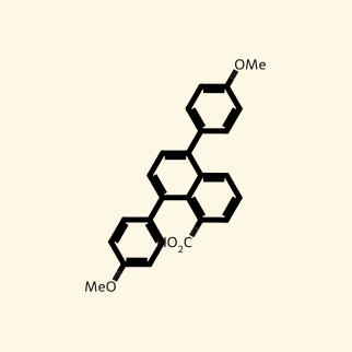 COc1ccc(-c2ccc(-c3ccc(OC)cc3)c3c(C(=O)O)cccc23)cc1